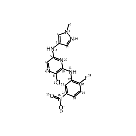 Cn1cc(Nc2cnc(Cl)c(Nc3cc([N+](=O)[O-])ccc3F)n2)cn1